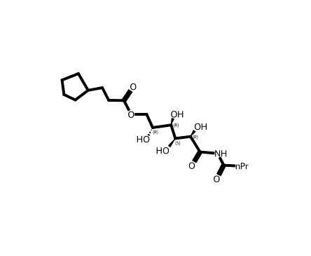 CCCC(=O)NC(=O)[C@H](O)[C@@H](O)[C@H](O)[C@H](O)COC(=O)CCC1CCCC1